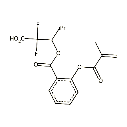 C=C(C)C(=O)Oc1ccccc1C(=O)OC(C(C)C)C(F)(F)C(=O)O